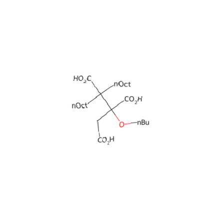 CCCCCCCCC(CCCCCCCC)(C(=O)O)C(CC(=O)O)(OCCCC)C(=O)O